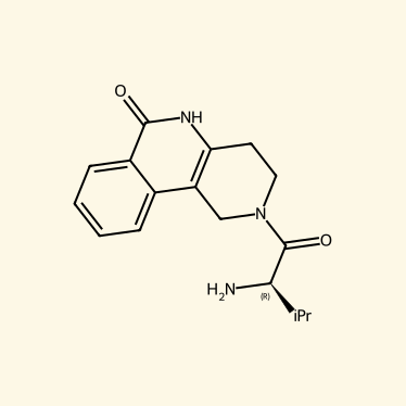 CC(C)[C@@H](N)C(=O)N1CCc2[nH]c(=O)c3ccccc3c2C1